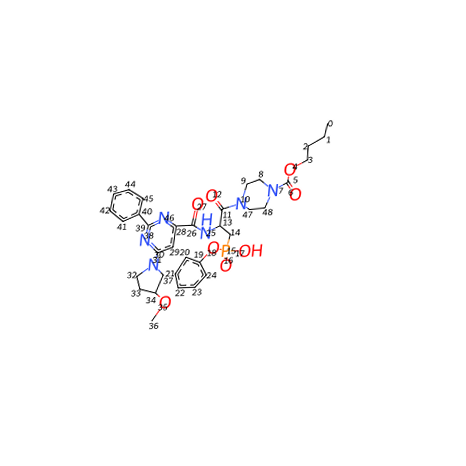 CCCCOC(=O)N1CCN(C(=O)C(CP(=O)(O)Oc2ccccc2)NC(=O)c2cc(N3CCC(OC)C3)nc(-c3ccccc3)n2)CC1